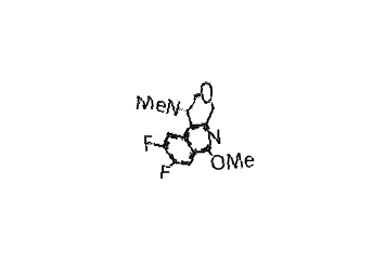 CN[C@@H]1COCc2nc(OC)c3cc(F)c(F)cc3c21